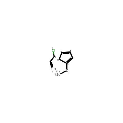 C=CCCl.C[C](C)(C)[Zr][C]1=CC=CC1